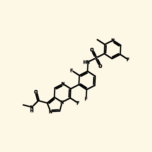 CNC(=O)c1ncn2c(F)c(-c3c(F)ccc(NS(=O)(=O)c4cc(F)cnc4C)c3F)ncc12